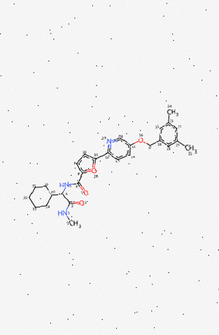 CNC(=O)C(NC(=O)c1ccc(-c2ccc(OCc3cc(C)cc(C)c3)cn2)o1)C1CCCCC1